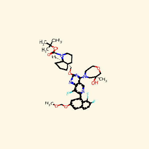 COCOc1cc(-c2ncc3c(N4CCOC[C@@](C)(O)C4)nc(OC[C@]45CCC[C@H]4N(C(=O)OC(C)(C)C)CCC5)nc3c2F)c2c(F)c(F)ccc2c1